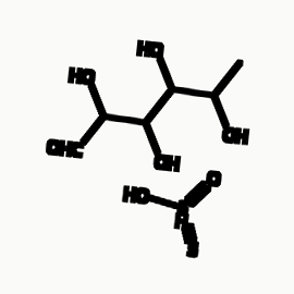 CC(O)C(O)C(O)C(O)C=O.O=[SH](O)=S